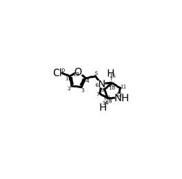 Clc1ccc(CN2C[C@H]3C[C@@H]2CN3)o1